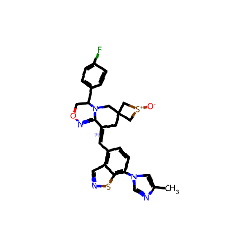 Cc1cn(-c2ccc(/C=C3\CC4(CN5C3=NOCC5c3ccc(F)cc3)C[S+]([O-])C4)c3cnsc23)cn1